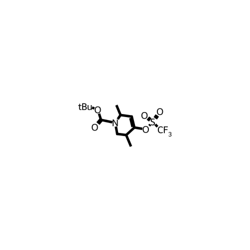 CC1CN(C(=O)OC(C)(C)C)C(C)C=C1OS(=O)(=O)C(F)(F)F